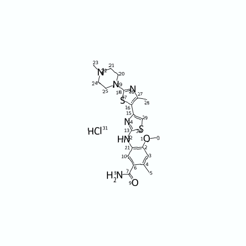 COc1cc(C)c(C(N)=O)cc1Nc1nc(-c2sc(N3CCN(C)CC3)nc2C)cs1.Cl